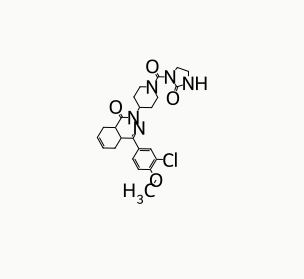 COc1ccc(C2=NN(C3CCN(C(=O)N4CCNC4=O)CC3)C(=O)C3CC=CCC23)cc1Cl